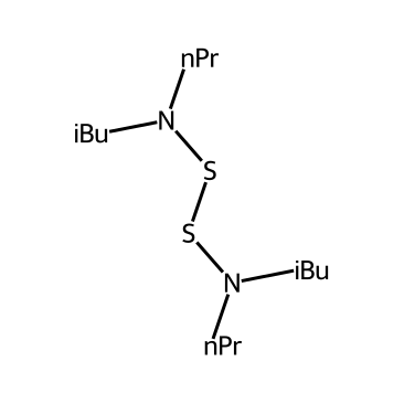 CCCN(SSN(CCC)C(C)CC)C(C)CC